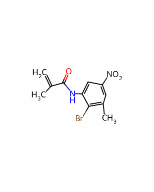 C=C(C)C(=O)Nc1cc([N+](=O)[O-])cc(C)c1Br